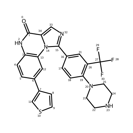 O=c1[nH]c2ccc(-c3ccsc3)cc2n2c(-c3ccc(N4CCNCC4)c(C(F)(F)F)c3)ncc12